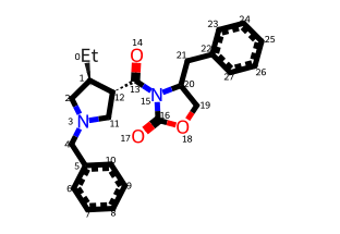 CC[C@@H]1CN(Cc2ccccc2)C[C@H]1C(=O)N1C(=O)OCC1Cc1ccccc1